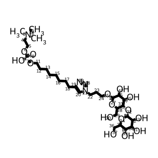 C[N+](C)(C)CCOP(=O)(O)OCCCCCCCCc1cn(CCCO[C@@H]2OC(CO)[C@@H](O[C@H]3OC(CO)[C@@H](O)[C@H](O)C3O)[C@H](O)C2O)nn1